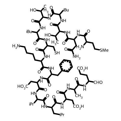 CCC(C)C(NC(=O)C(NC(=O)C(NC(=O)C(NC(=O)C(CC(N)=O)NC(=O)C(N)CCSC)C(C)O)C(C)CC)C(C)O)C(=O)NC(CS)C(=O)NC(CCCCN)C(=O)NC(Cc1ccccc1)C(=O)NC(CC(=O)O)C(=O)NC(C(=O)NC(CC(C)C)C(=O)NC(CC(=O)O)C(=O)NC(C)C(=O)NC(C=O)CCC(=O)O)C(C)C